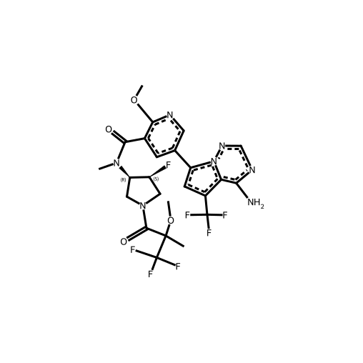 COc1ncc(-c2cc(C(F)(F)F)c3c(N)ncnn23)cc1C(=O)N(C)[C@@H]1CN(C(=O)C(C)(OC)C(F)(F)F)C[C@@H]1F